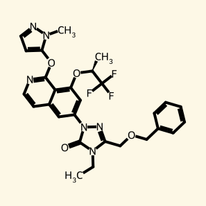 CCn1c(COCc2ccccc2)nn(-c2cc(O[C@@H](C)C(F)(F)F)c3c(Oc4ccnn4C)nccc3c2)c1=O